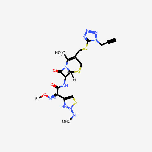 C#CCn1nnnc1SCC1=C(C(=O)O)N2C(=O)C(NC(=O)/C(=N\OCC)C3=CSN(NC=O)N3)[C@H]2SC1